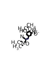 CCN(CC)C(=O)/C(C#N)=C/c1cc(O)c(OC(C)C)c([N+](=O)[O-])c1